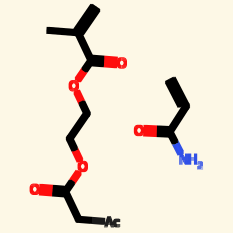 C=C(C)C(=O)OCCOC(=O)CC(C)=O.C=CC(N)=O